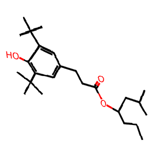 CCCC(CC(C)C)OC(=O)CCc1cc(C(C)(C)C)c(O)c(C(C)(C)C)c1